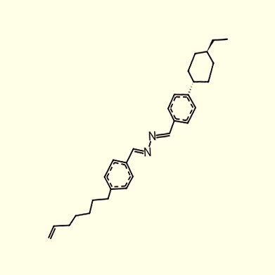 C=CCCCCCc1ccc(C=NN=Cc2ccc([C@H]3CC[C@H](CC)CC3)cc2)cc1